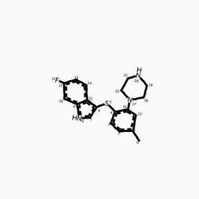 Cc1ccc(Sc2c[nH]c3cc(F)ccc23)c(N2CCNCC2)c1